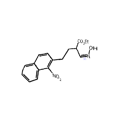 CCOC(=O)C(/C=N\O)CCc1ccc2ccccc2c1[N+](=O)[O-]